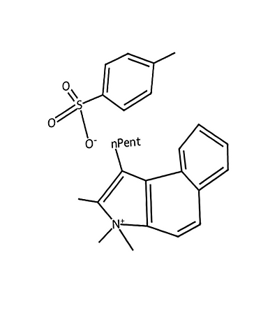 CCCCCC1=C(C)[N+](C)(C)c2ccc3ccccc3c21.Cc1ccc(S(=O)(=O)[O-])cc1